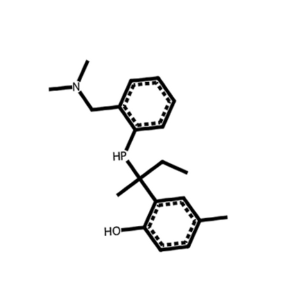 CCC(C)(Pc1ccccc1CN(C)C)c1cc(C)ccc1O